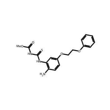 COC(=O)NC(=S)Nc1cc(OCCOc2ccccc2)ccc1N